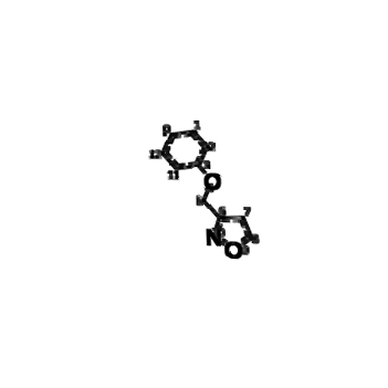 [c]1ccc(OCc2ccon2)cc1